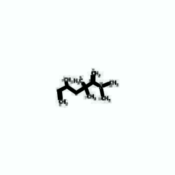 C=CC(C)CC(C)(C)C(=C)N(C)C